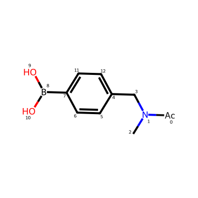 CC(=O)N(C)Cc1ccc(B(O)O)cc1